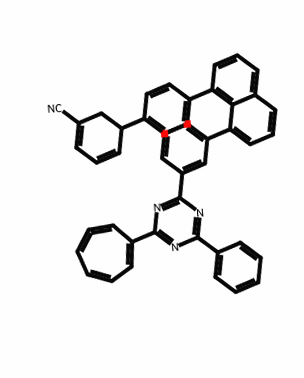 N#CC1=CC=CC(c2ccc(-c3cccc4cccc(-c5cccc(-c6nc(C7=CC=CC=C=C7)nc(-c7ccccc7)n6)c5)c34)cc2)C1